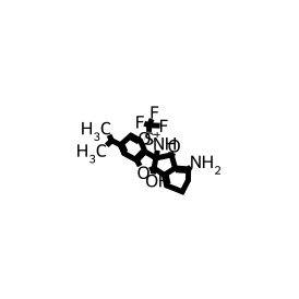 CC(C)c1ccc2c(c1)OC1(O)C3=CCCC(N)=C3C(=O)C21N[S+]([O-])C(F)(F)F